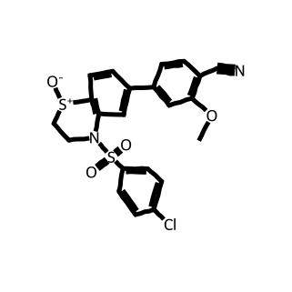 COc1cc(-c2ccc3c(c2)N(S(=O)(=O)c2ccc(Cl)cc2)CC[S+]3[O-])ccc1C#N